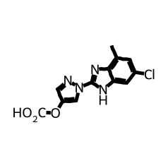 Cc1cc(Cl)cc2[nH]c(-n3cc(OC(=O)O)cn3)nc12